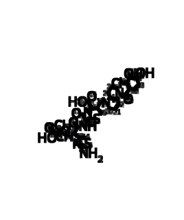 CC(C)(O/N=C(\C(=O)N[C@@H]1C(=O)N2C(C(=O)O)=C(C[n+]3cccc4c3CCCN4C(=O)c3ccc(O)c(O)c3Cl)CS[C@H]12)c1csc(N)n1)C(=O)O